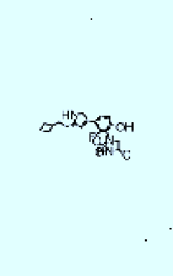 O=C1CN(c2c(O)ccc(C3=C[C@@H](CCC4CCC4)NC3)c2F)S(=O)(=O)N1